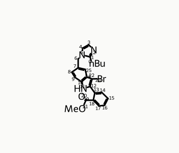 CCCCc1nccn1Cc1ccc2[nH]c(-c3ccccc3C(=O)OC)c(Br)c2c1